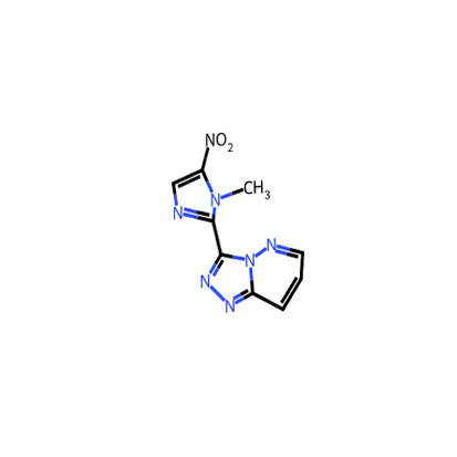 Cn1c([N+](=O)[O-])cnc1-c1nnc2cccnn12